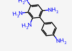 Nc1ccc(-c2c(N)cc(N)c(N)c2N)cc1